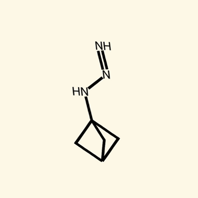 N=NNC12CC(C1)C2